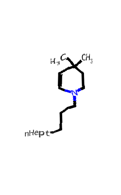 CCCCCCCCCCN1C=CC(C)(C)CC1